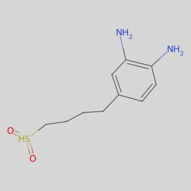 Nc1ccc(CCCC[SH](=O)=O)cc1N